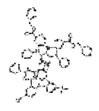 CC(C)(C)c1ccc2c(c1)c1cc(-c3cc4c5c(c3)N(c3ccccc3)c3cc(C(=O)OCc6ccccc6)ccc3B5c3ccc(C(=O)OCc5ccccc5)cc3N4c3ccccc3)ccc1n2-c1ccc(C#N)cc1-c1nc(-c2ccccc2)nc(-c2ccccc2)n1